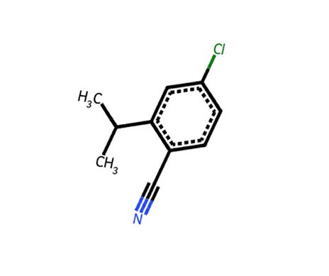 C[C](C)c1cc(Cl)ccc1C#N